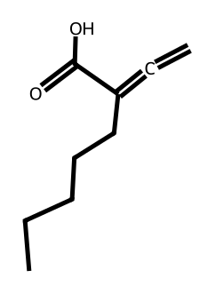 C=C=C(CCCCC)C(=O)O